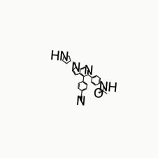 CC(=O)Nc1ccc(-c2ncc3c(ccn3C[C@@H]3CCNC3)c2-c2ccc(C#N)cc2)cc1